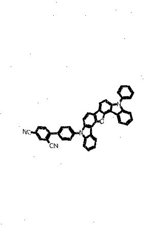 N#Cc1ccc(-c2ccc(-n3c4ccccc4c4c5oc6c(ccc7c6c6ccccc6n7-c6ccccc6)c5ccc43)cc2)c(C#N)c1